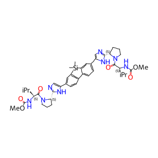 COC(=O)N[C@H](C(=O)N1CCC[C@H]1c1ncc(-c2ccc3c(c2)[Si](C)(C)c2cc(-c4cnc([C@@H]5CCCN5C(=O)[C@@H](NC(=O)OC)C(C)C)[nH]4)ccc2-3)[nH]1)C(C)C